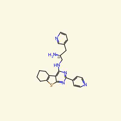 N[C@H](CNc1nc(-c2ccncc2)nc2sc3c(c12)CCCC3)Cc1cccnc1